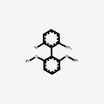 [2H]c1cccc(P)c1-c1c(OC(C)C)cccc1OC(C)C